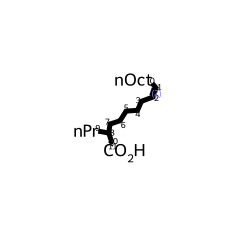 CCCCCCCC/C=C\CCCCCC(CCC)CC(=O)O